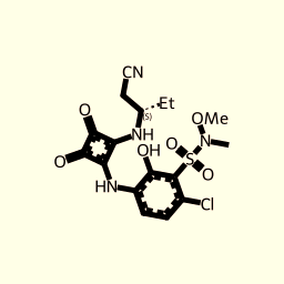 CC[C@@H](CC#N)Nc1c(Nc2ccc(Cl)c(S(=O)(=O)N(C)OC)c2O)c(=O)c1=O